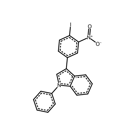 O=[N+]([O-])c1cc(-c2cn(-c3ccccc3)c3ccccc23)ccc1I